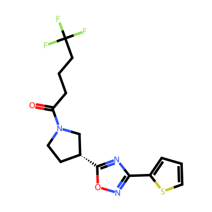 O=C(CCCC(F)(F)F)N1CC[C@@H](c2nc(-c3cccs3)no2)C1